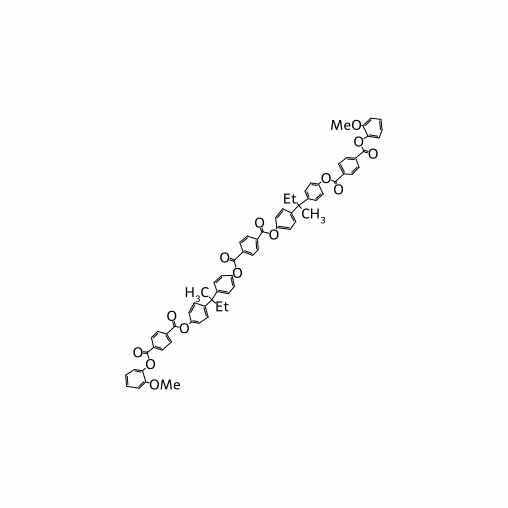 CCC(C)(c1ccc(OC(=O)c2ccc(C(=O)Oc3ccc(C(C)(CC)c4ccc(OC(=O)c5ccc(C(=O)Oc6ccccc6OC)cc5)cc4)cc3)cc2)cc1)c1ccc(OC(=O)c2ccc(C(=O)Oc3ccccc3OC)cc2)cc1